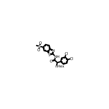 CCCCCCC(C(=O)Nc1nc2ccc(S(C)(=O)=O)cc2s1)c1ccc(Cl)c(Cl)c1